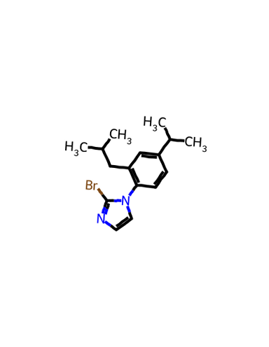 CC(C)Cc1cc(C(C)C)ccc1-n1ccnc1Br